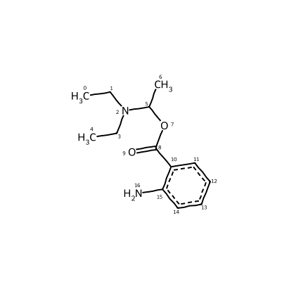 CCN(CC)C(C)OC(=O)c1ccccc1N